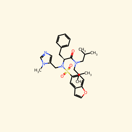 CC(C)CN(CC(C)C)C(=O)[C@H](Cc1ccccc1)N(Cc1cncn1C)S(=O)(=O)c1ccc2occc2c1